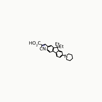 CCC1(CC)c2cc(/C=C(\C#N)C(=O)O)ccc2-c2ccc(N3CCCCC3)cc21